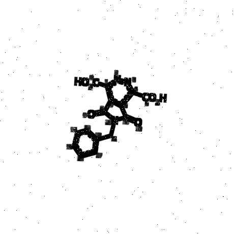 O=C(O)c1nnc(C(=O)O)c2c1C(=O)N(Cc1ccccc1)C2=O